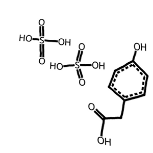 O=C(O)Cc1ccc(O)cc1.O=S(=O)(O)O.O=S(=O)(O)O